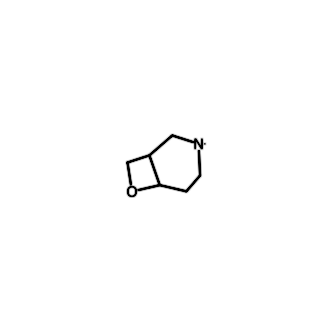 C1CC2OCC2C[N]1